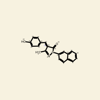 CC1=NN(c2ccc3ccccc3c2)C(=O)/C1=C/c1ccc(O)cc1